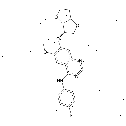 COc1cc2c(Nc3ccc(F)cc3)ncnc2cc1O[C@@H]1COC2CCOC21